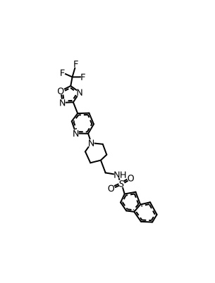 O=S(=O)(NCC1CCN(c2ccc(-c3noc(C(F)(F)F)n3)cn2)CC1)c1ccc2ccccc2c1